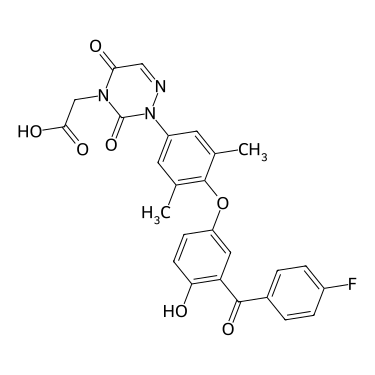 Cc1cc(-n2ncc(=O)n(CC(=O)O)c2=O)cc(C)c1Oc1ccc(O)c(C(=O)c2ccc(F)cc2)c1